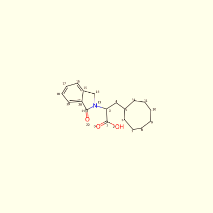 O=C(O)C(CC1CCCCCCC1)N1Cc2ccccc2C1=O